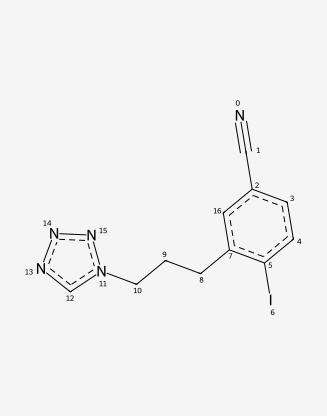 N#Cc1ccc(I)c(CCCn2cnnn2)c1